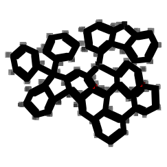 c1ccc(-c2cccc3cccc(-c4ccccc4N(c4ccc5c(c4)C(c4ccccc4)(c4ccccc4)c4ccccc4-5)c4cccc5sc6ccccc6c45)c23)cc1